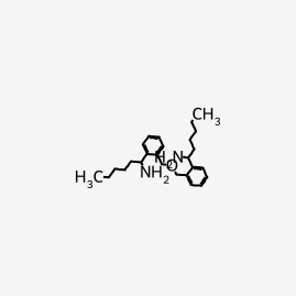 CCCCCC(N)c1ccccc1COCc1ccccc1C(N)CCCCC